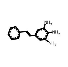 Nc1cc(C=Cc2ccccc2)cc(N)c1N